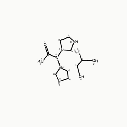 CC(O)CO.NC(=O)N(N1CCNC1)N1CCNC1